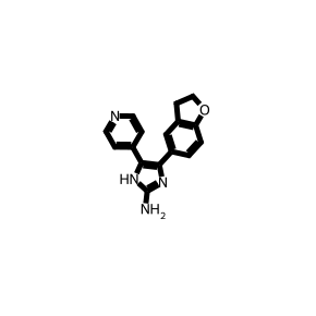 Nc1nc(-c2ccc3c(c2)CCO3)c(-c2ccncc2)[nH]1